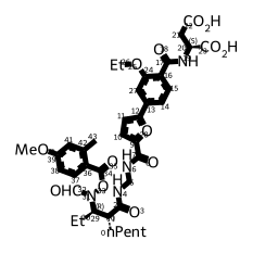 CCCCC[C@@H](C(=O)NCNC(=O)c1ccc(-c2ccc(C(=O)N[C@@H](CC(=O)O)C(=O)O)c(OCC)c2)o1)[C@@H](CC)N(C=O)OC(=O)c1ccc(OC)cc1C